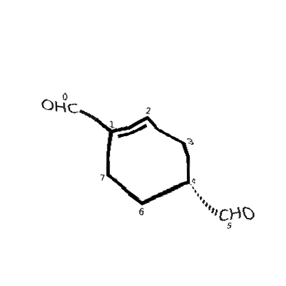 O=CC1=CC[C@H](C=O)CC1